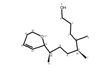 CC(CCCO)[C@@H](C)CC[C@@H](C)C1C=CCCO1